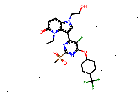 CCn1c(=O)ccc2c1c(-c1nc(S(C)(=O)=O)nc(OC3CCC(C(F)(F)F)CC3)c1F)cn2CCO